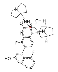 NC[C@H](O)CN1[C@@H]2CC[C@H]1CN(c1nc(OCC34CCCN3CCC4)nc3c(F)c(-c4cc(O)cc5cccc(F)c45)ccc13)C2